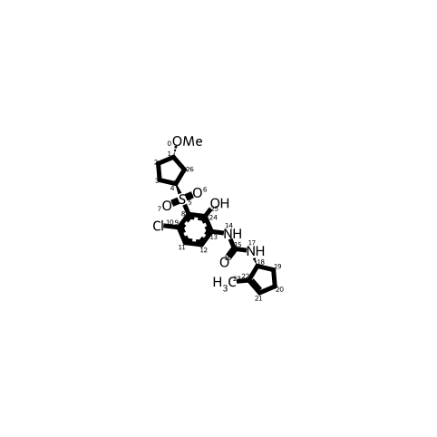 CO[C@H]1CC[C@H](S(=O)(=O)c2c(Cl)ccc(NC(=O)N[C@@H]3CCC=C3C)c2O)C1